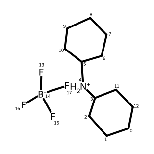 C1CCC([NH2+]C2CCCCC2)CC1.F[B-](F)(F)F